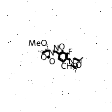 COC[C@H]1[C@@H](C)OC(=O)N1c1noc2c(F)c(N3C[C@@H](C)O[C@H](C)C3)c(C=O)cc12